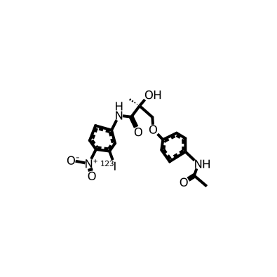 CC(=O)Nc1ccc(OC[C@](C)(O)C(=O)Nc2ccc([N+](=O)[O-])c([123I])c2)cc1